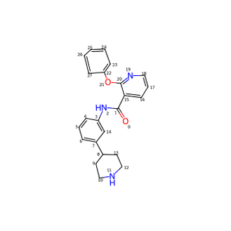 O=C(Nc1cccc(C2CCNCC2)c1)c1cccnc1Oc1ccccc1